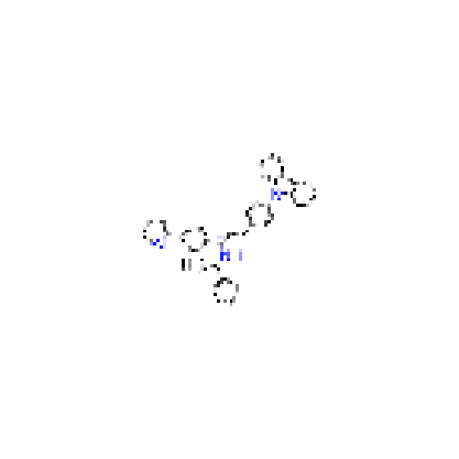 CC(N/C(=C\Cc1ccc(-n2c3ccccc3c3ccccc32)cc1)c1ccc(-c2ccccn2)cc1)c1ccccc1